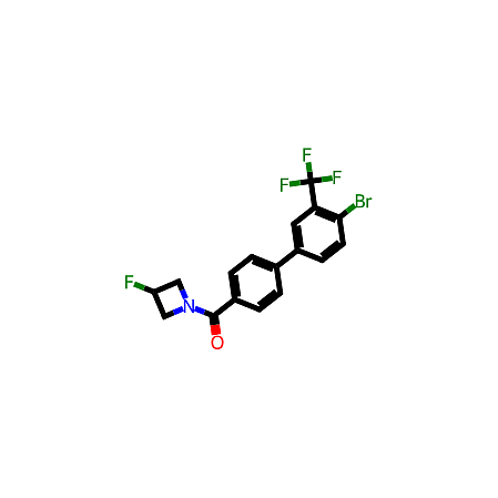 O=C(c1ccc(-c2ccc(Br)c(C(F)(F)F)c2)cc1)N1CC(F)C1